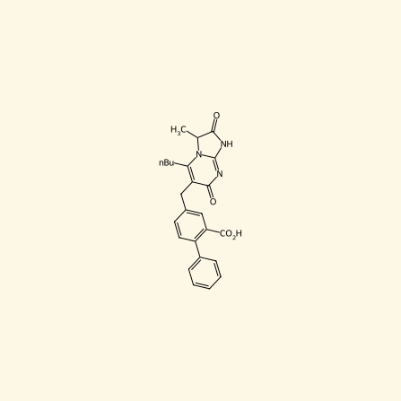 CCCCc1c(Cc2ccc(-c3ccccc3)c(C(=O)O)c2)c(=O)nc2n1C(C)C(=O)N2